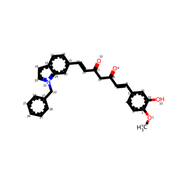 COc1ccc(C=CC(=O)CC(=O)C=Cc2ccc3ccn(Cc4ccccc4)c3c2)cc1O